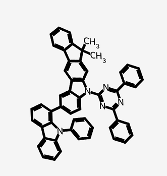 CC1(C)c2ccccc2-c2cc3c4cc(-c5cccc6c7ccccc7n(-c7ccccc7)c56)ccc4n(-c4nc(-c5ccccc5)nc(-c5ccccc5)n4)c3cc21